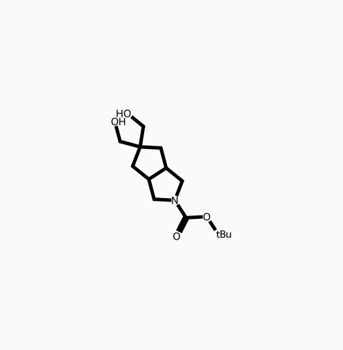 CC(C)(C)OC(=O)N1CC2CC(CO)(CO)CC2C1